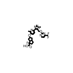 Cc1nc(-c2nnn(C)c2COc2nccc(C(F)F)n2)ccc1OC1CC2CCC(F)(C(=O)O)C2C1